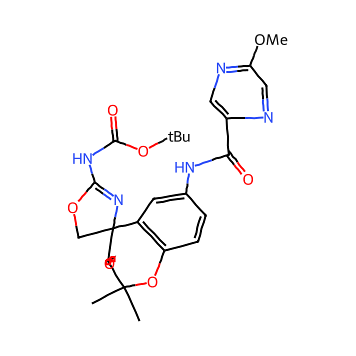 COc1cnc(C(=O)Nc2ccc3c(c2)C2(COC(NC(=O)OC(C)(C)C)=N2)C2(COC2)C(C)(C)O3)cn1